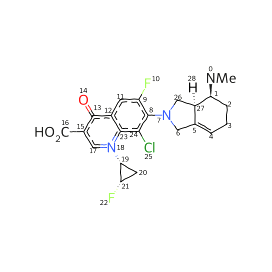 CN[C@H]1CCC=C2CN(c3c(F)cc4c(=O)c(C(=O)O)cn([C@@H]5C[C@@H]5F)c4c3Cl)C[C@H]21